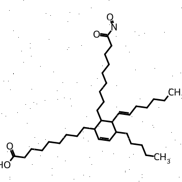 CCCCC/C=C/C1C(CCCCC)C=CC(CCCCCCCCC(=O)O)C1CCCCCCCCC(=O)N=O